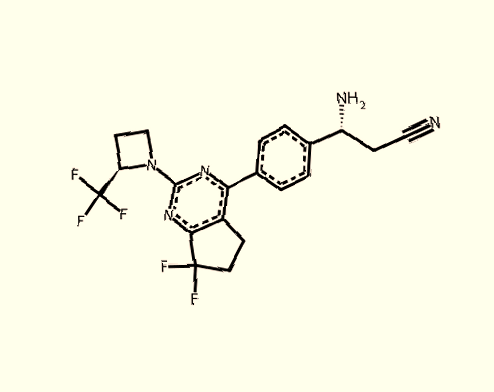 N#CC[C@@H](N)c1ccc(-c2nc(N3CC[C@@H]3C(F)(F)F)nc3c2CCC3(F)F)cc1